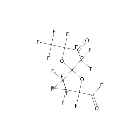 O=C(F)C(F)(OC(OC(F)(C(=O)F)C(F)(F)F)(C(F)(F)F)C(F)(F)F)C(F)(F)F